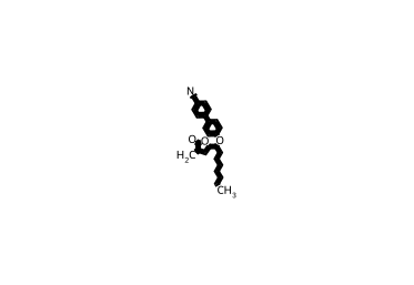 C=C1CC(C(CCCCCCC)Oc2ccc(-c3ccc(C#N)cc3)cc2)OC1=O